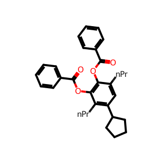 CCCc1cc(C2CCCC2)c(CCC)c(OC(=O)c2ccccc2)c1OC(=O)c1ccccc1